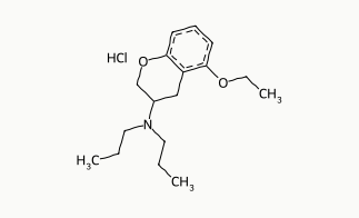 CCCN(CCC)C1COc2cccc(OCC)c2C1.Cl